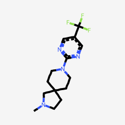 CN1CCC2(CCN(c3ncc(C(F)(F)F)cn3)CC2)C1